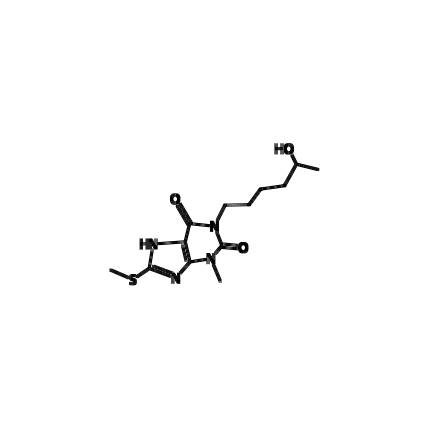 CSc1nc2c([nH]1)c(=O)n(CCCCC(C)O)c(=O)n2C